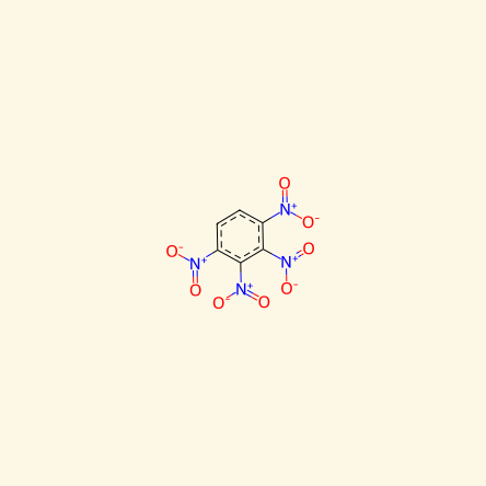 O=[N+]([O-])c1ccc([N+](=O)[O-])c([N+](=O)[O-])c1[N+](=O)[O-]